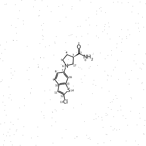 NC(=O)[C@@H]1CCN(c2ccc3cc(Cl)sc3c2)C1